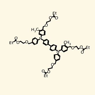 CCC(=O)OCCOCc1ccc(N(c2ccc(-c3ccc(N(c4ccc(COCCOC(=O)CC)cc4)c4ccc(COCCOC(=O)CC)c(C)c4)cc3)cc2)c2ccc(COCCOC(=O)CC)c(C)c2)cc1